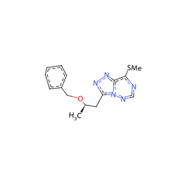 CSc1ncnn2c(C[C@@H](C)OCc3ccccc3)nnc12